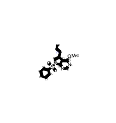 C/C=C/c1cn(S(=O)(=O)c2ccccc2)c2ncnc(OC)c12